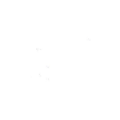 COC(=O)c1cc(-c2ccc(C#Cc3cccnc3)cc2)nc(N(C)C)c1